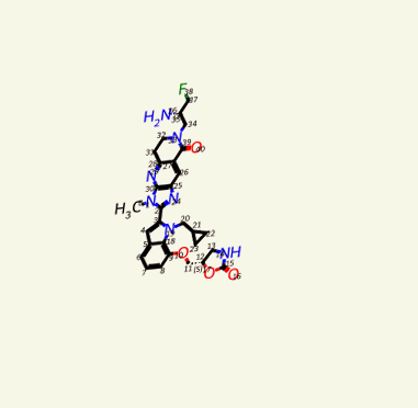 Cn1c(-c2cc3cccc(OC[C@@H]4CNC(=O)O4)c3n2CC2CC2)nc2cc3c(nc21)CCN(C[C@H](N)CF)C3=O